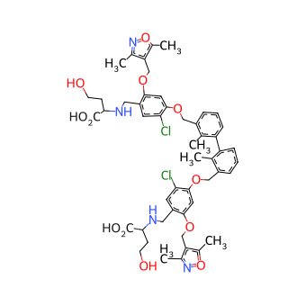 Cc1noc(C)c1COc1cc(OCc2cccc(-c3cccc(COc4cc(OCc5c(C)noc5C)c(CNC(CCO)C(=O)O)cc4Cl)c3C)c2C)c(Cl)cc1CNC(CCO)C(=O)O